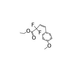 CCOC(=O)C(F)(F)/C=C\c1ccc(OC)cc1